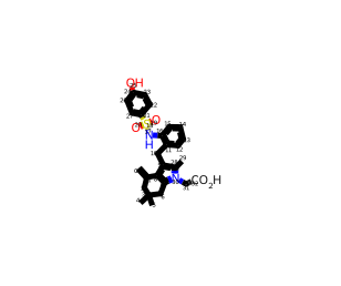 C=C1CC(C)(C)Cc2c1c(Cc1ccccc1NS(=O)(=O)c1ccc(O)cc1)c(C)n2CC(=O)O